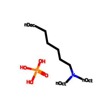 CCCCCCCCCCCCCCCN(CCCCCCCC)CCCCCCCC.O=P(O)(O)O